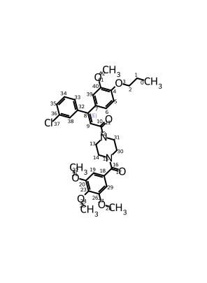 CCCOc1ccc(/C(=C\C(=O)N2CCN(C(=O)c3cc(OC)c(OC)c(OC)c3)CC2)c2cccc(Cl)c2)cc1OC